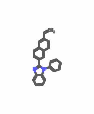 C=Cc1ccc2cc(-c3nc4ccccc4n3-c3ccccc3)ccc2c1